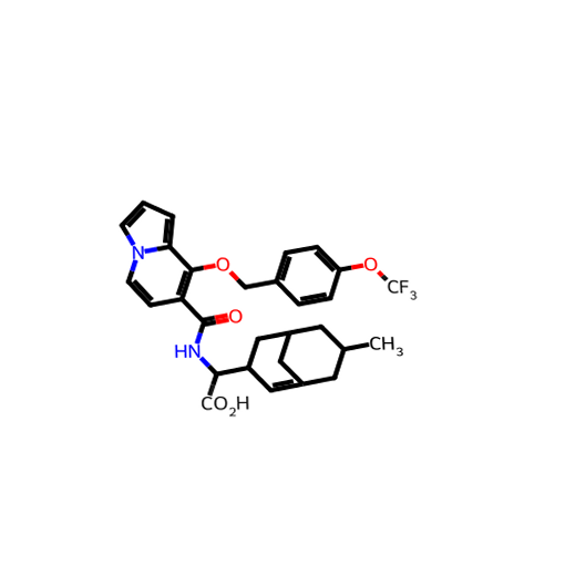 CC1CC2=CC(C(NC(=O)c3ccn4cccc4c3OCc3ccc(OC(F)(F)F)cc3)C(=O)O)CC(C2)C1